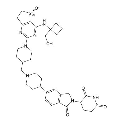 O=C1CCC(N2Cc3cc(C4CCN(CC5CCN(c6nc7c(c(NC8(CO)CCC8)n6)[S@+]([O-])CC7)CC5)CC4)ccc3C2=O)C(=O)N1